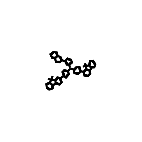 CC1(C)c2ccccc2-c2ccc(-c3ccc(N(c4ccc(-c5cccc6c5C(C)(C)c5ccccc5-6)cc4)c4cccc(-c5ccc6ccccc6c5)c4)cc3)cc21